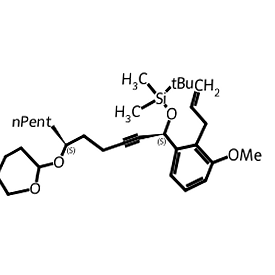 C=CCc1c(OC)cccc1[C@@H](C#CCC[C@H](CCCCC)OC1CCCCO1)O[Si](C)(C)C(C)(C)C